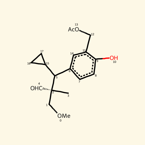 COC[C@@](C)(C=O)C(c1ccc(O)c(COC(C)=O)c1)C1CC1